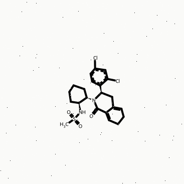 CS(=O)(=O)N[C@H]1CCCC[C@@H]1N1C(=O)C2=CCCC=C2C[C@@H]1c1ccc(Cl)cc1Cl